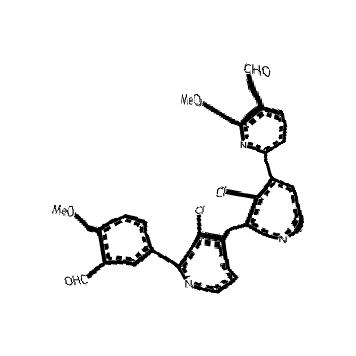 COc1ccc(-c2nccc(-c3nccc(-c4ccc(C=O)c(OC)n4)c3Cl)c2Cl)cc1C=O